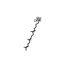 CC(C)=CCC/C(C)=C/CC/C(C)=C/CCCCS(=O)(=O)O